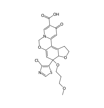 COCCCOC1(c2scnc2Cl)C=C2OCn3cc(C(=O)O)c(=O)cc3C2=C2CCOC21